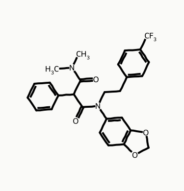 CN(C)C(=O)C(C(=O)N(CCc1ccc(C(F)(F)F)cc1)c1ccc2c(c1)OCO2)c1ccccc1